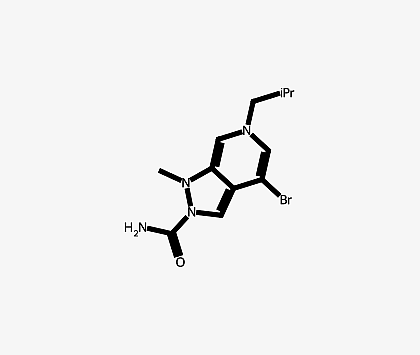 CC(C)CN1C=C(Br)C2=CN(C(N)=O)N(C)C2=C1